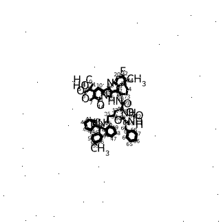 CC[C@@]1(O)C(=O)OCc2c1cc1n(c2=O)Cc2c-1nc1cc(F)c(C)c3c1c2[C@@H](NC(=O)[C@H](CCCCNC(c1ccccc1)(c1ccccc1)c1ccc(C)cc1)NC(=O)[C@H](Cc1ccccc1)NC(=O)O)CC3